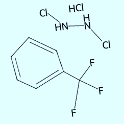 Cl.ClNNCl.FC(F)(F)c1ccccc1